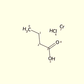 CCCC(=O)O.Cl.[Cr]